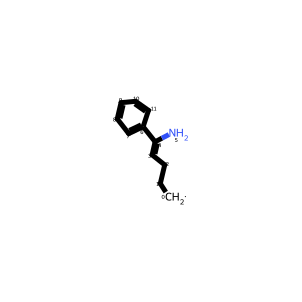 [CH2]CCC=C(N)c1ccccc1